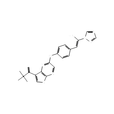 CC(C)(C)C(=O)c1c[nH]c2ncc(Nc3ccc(/C=C(\N)n4cncn4)cc3)nc12